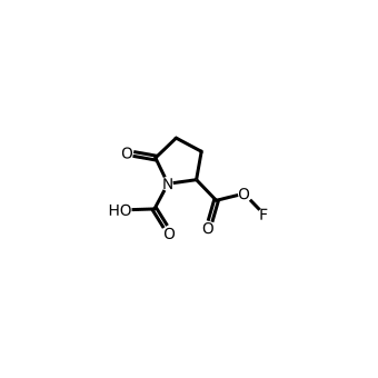 O=C(OF)C1CCC(=O)N1C(=O)O